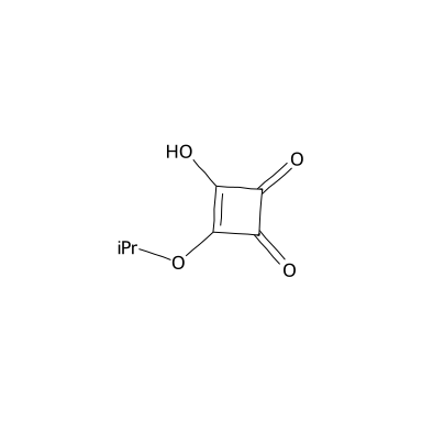 CC(C)Oc1c(O)c(=O)c1=O